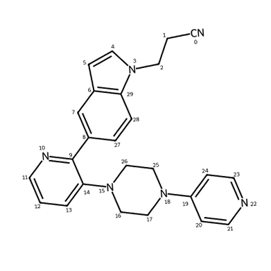 N#CCCn1ccc2cc(-c3ncccc3N3CCN(c4ccncc4)CC3)ccc21